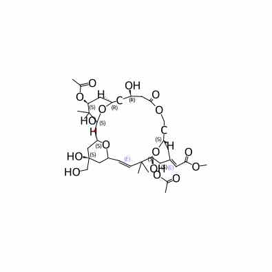 COC(=O)/C=C1\C[C@H]2CCOC(=O)C[C@H](O)C[C@@H]3C[C@H](OC(C)=O)C(C)(C)[C@](O)(C[C@@H]4C[C@@](O)(CO)CC(/C=C/C(C)(C)[C@](O)(O2)[C@H]1OC(C)=O)O4)O3